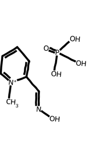 C[n+]1ccccc1C=NO.O=P(O)(O)O